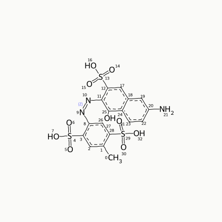 Cc1cc(S(=O)(=O)O)c(/N=N\c2c(S(=O)(=O)O)cc3cc(N)ccc3c2O)cc1S(=O)(=O)O